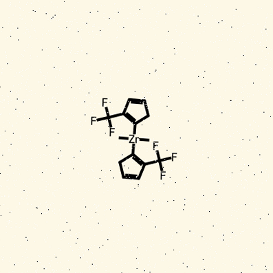 [CH3][Zr]([CH3])([C]1=C(C(F)(F)F)C=CC1)[C]1=C(C(F)(F)F)C=CC1